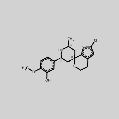 COc1ccc([C@@H]2C[C@]3(C[C@H](C)N2)OCCc2cc(Cl)sc23)cc1O